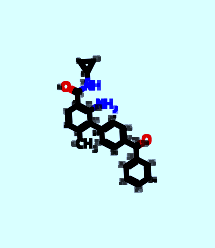 Cc1ccc(C(=O)NC2CC2)c(N)c1-c1ccc(C(=O)c2ccccc2)cc1